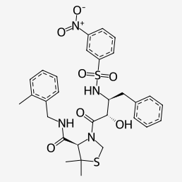 Cc1ccccc1CNC(=O)[C@H]1N(C(=O)[C@@H](O)[C@H](Cc2ccccc2)NS(=O)(=O)c2cccc([N+](=O)[O-])c2)CSC1(C)C